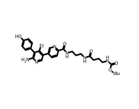 CCc1c(-c2ccc(C(=O)NCCCNC(=O)CCCNC(=O)OC(C)(C)C)nc2)cnc(N)c1-c1ccc(O)cc1